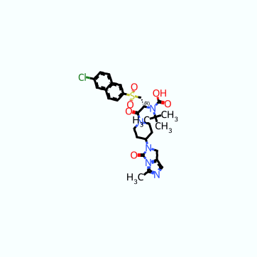 Cc1ncc2n1C(=O)N(C1CCN(C(=O)[C@H](CS(=O)(=O)c3ccc4cc(Cl)ccc4c3)N(C(=O)O)C(C)(C)C)CC1)C2